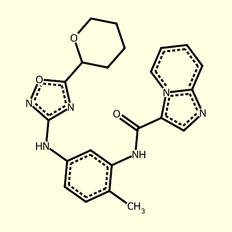 Cc1ccc(Nc2noc(C3CCCCO3)n2)cc1NC(=O)c1cnc2ccccn12